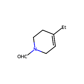 CCC1=CCN(C=O)CC1